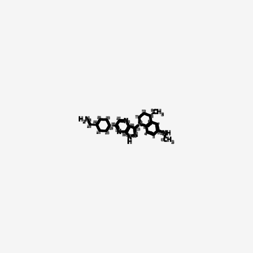 CNc1ccc2c(c1)[C@@H](C)CCN2c1n[nH]c2nc([C@H]3CC[C@H](CN)CC3)cnc12